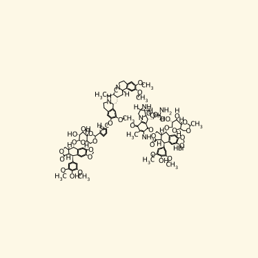 Br.CC[C@H]1CN2CCc3cc(OC)c(OC)cc3[C@@H]2C[C@@H]1C[C@H]1NCCc2cc(OC)c(OC)cc21.CO[C@@]12[C@H](COC(N)=O)C3=C(C(=O)C(C)=C(N)C3=O)N1C[C@@H]1N[C@@H]12.COc1cc([C@@H]2c3cc4c(cc3[C@@H](O[C@@H]3O[C@@H]5COC(c6cccs6)O[C@H]5[C@H](O)[C@H]3O)[C@H]3COC(=O)[C@H]23)OCO4)cc(OC)c1O.COc1cc([C@@H]2c3cc4c(cc3[C@@H](O[C@@H]3O[C@@H]5CO[C@@H](C)O[C@H]5[C@H](O)[C@H]3O)[C@H]3COC(=O)[C@H]23)OCO4)cc(OC)c1O